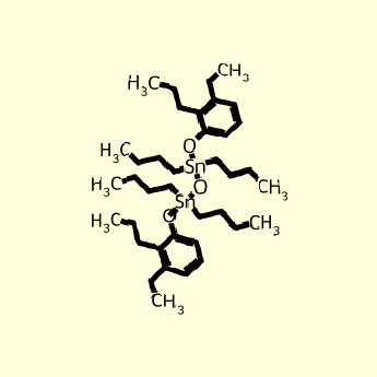 CCC[CH2][Sn]([CH2]CCC)([O]c1cccc(CC)c1CCC)[O][Sn]([CH2]CCC)([CH2]CCC)[O]c1cccc(CC)c1CCC